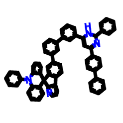 C1=C(c2cccc(-c3cccc(-c4ccc5c(c4)C4(c6ccccc6N(c6ccccc6)c6ccccc64)c4ncccc4-5)c3)c2)NC(c2ccccc2)N=C1c1ccc(-c2ccccc2)cc1